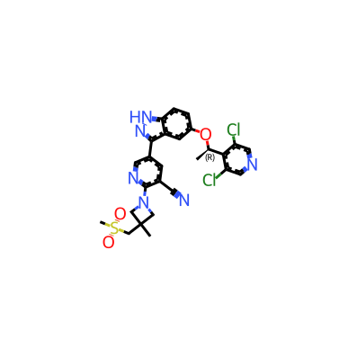 C[C@@H](Oc1ccc2[nH]nc(-c3cnc(N4CC(C)(CS(C)(=O)=O)C4)c(C#N)c3)c2c1)c1c(Cl)cncc1Cl